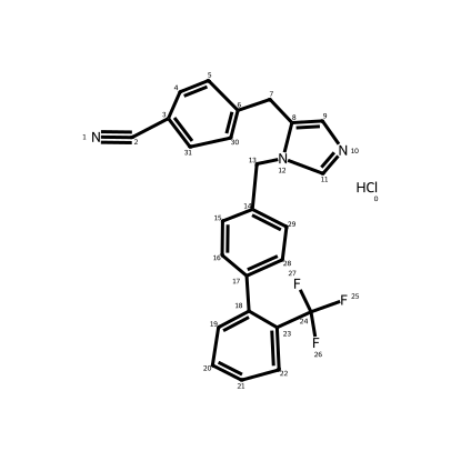 Cl.N#Cc1ccc(Cc2cncn2Cc2ccc(-c3ccccc3C(F)(F)F)cc2)cc1